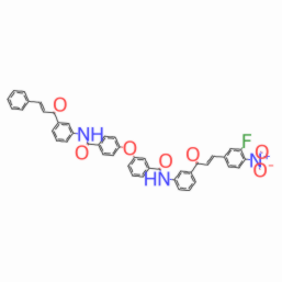 O=C(/C=C/c1ccccc1)c1cccc(NC(=O)c2ccc(Oc3cccc(C(=O)Nc4cccc(C(=O)/C=C/c5ccc([N+](=O)[O-])c(F)c5)c4)c3)cc2)c1